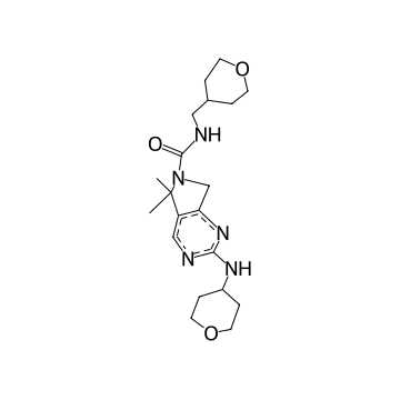 CC1(C)c2cnc(NC3CCOCC3)nc2CN1C(=O)NCC1CCOCC1